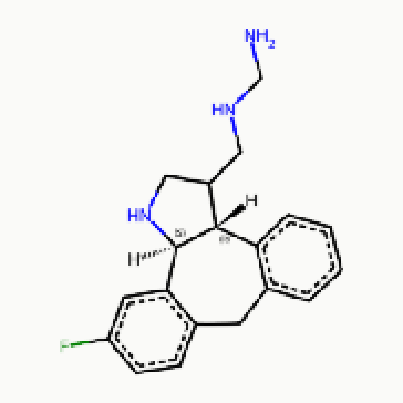 NCNCC1CN[C@@H]2c3cc(F)ccc3Cc3ccccc3[C@@H]12